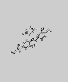 CN1CCNCC1.COc1ccc(COc2ccc(CC(=O)O)cc2Cl)cc1Cl